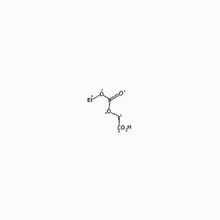 CCOC(=O)OCC(=O)O